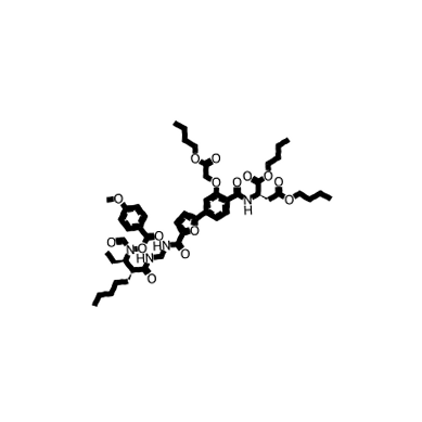 CCCCC[C@@H](C(=O)NCNC(=O)c1ccc(-c2ccc(C(=O)N[C@@H](CC(=O)OCCCC)C(=O)OCCCC)c(OCC(=O)OCCCC)c2)o1)[C@@H](CC)N(C=O)OC(=O)c1ccc(OC)cc1